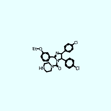 CCOc1cccc(C2=NC(c3ccc(Cl)cc3)C(c3ccc(Cl)cc3)N2C(=O)N2CCNCC2)c1